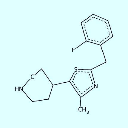 Cc1nc(Cc2ccccc2F)sc1C1CCNCC1